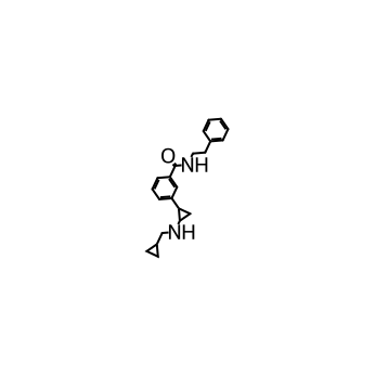 O=C(NCCc1ccccc1)c1cccc(C2CC2NCC2CC2)c1